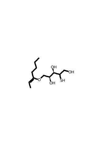 C/C=C(/CCCC)OC[C@H](O)[C@@H](O)C(S)CO